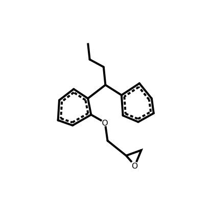 CCCC(c1ccccc1)c1ccccc1OCC1CO1